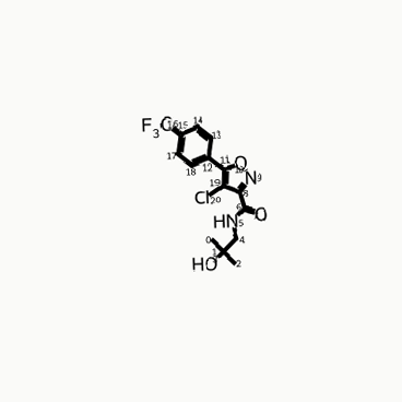 CC(C)(O)CNC(=O)c1noc(-c2ccc(C(F)(F)F)cc2)c1Cl